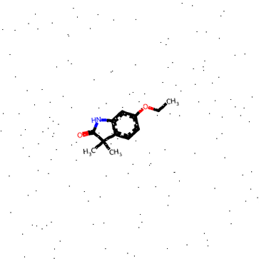 CCOc1ccc2c(c1)NC(=O)C2(C)C